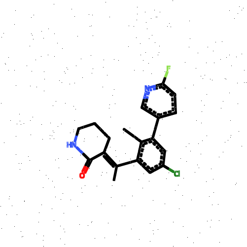 C/C(=C1/CCCNC1=O)c1cc(Cl)cc(-c2ccc(F)nc2)c1C